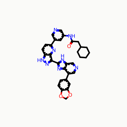 O=C(CC1CCCCC1)Nc1cncc(-c2ccc3[nH]nc(-c4nc5c(-c6ccc7c(c6)OCO7)cncc5[nH]4)c3n2)c1